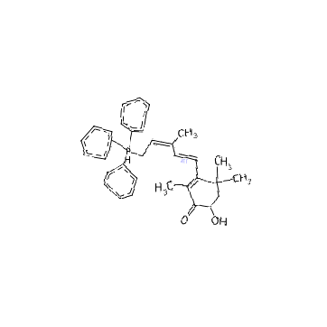 CC(=CC[PH](c1ccccc1)(c1ccccc1)c1ccccc1)/C=C/C1=C(C)C(=O)C(O)CC1(C)C